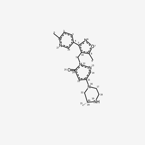 Cc1ccc(-c2noc(C)c2Cn2ncc(N3CCN[C@H](C)C3)cc2=O)cn1